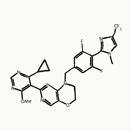 COc1ncnc(C2CC2)c1-c1ncc2c(n1)N(Cc1cc(F)c(-c3nc(C(F)(F)F)cn3C)c(F)c1)CCO2